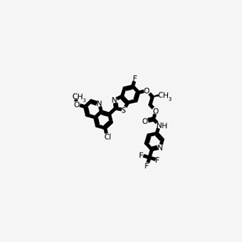 COc1cnc2c(-c3nc4cc(F)c(O[C@@H](C)COC(=O)Nc5ccc(C(F)(F)F)nc5)cc4s3)cc(Cl)cc2c1